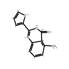 Cc1cccc2nc(-c3cccs3)oc(=O)c12